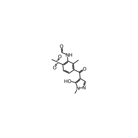 Cc1c(C(=O)c2cnn(C)c2O)ccc(S(C)(=O)=O)c1NC=O